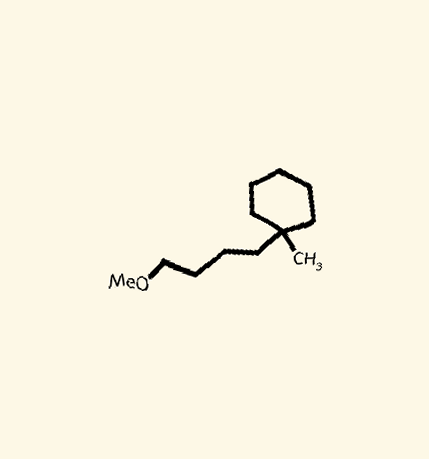 COCCCCC1(C)CCCCC1